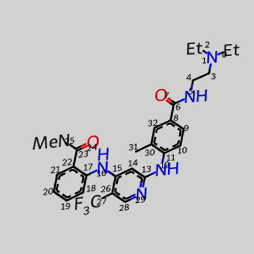 CCN(CC)CCNC(=O)c1ccc(Nc2cc(Nc3ccccc3C(=O)NC)c(C(F)(F)F)cn2)c(C)c1